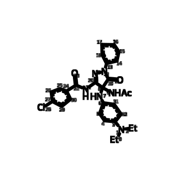 CCN(CC)c1ccc(NC2(NC(C)=O)C(=O)N(c3ccccc3)N=C2NC(=O)c2ccc(Cl)cc2)cc1